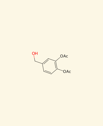 CC(=O)Oc1ccc(CO)cc1OC(C)=O